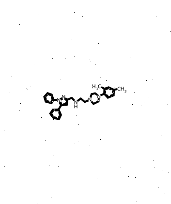 Cc1ccc(N2CCN(CCNCc3cc(-c4ccccc4)n(-c4ccccc4)n3)CC2)c(C)c1